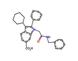 O=C(Cn1c(-c2ccccc2)c(C2CCCCC2)c2ccc(C(=O)O)cc21)NCc1ccccc1